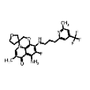 Cc1cc(C(F)(F)F)cc(CCCNc2c(F)c(N)c3c(=O)c(C)cn4c3c2OCC42CCOC2)n1